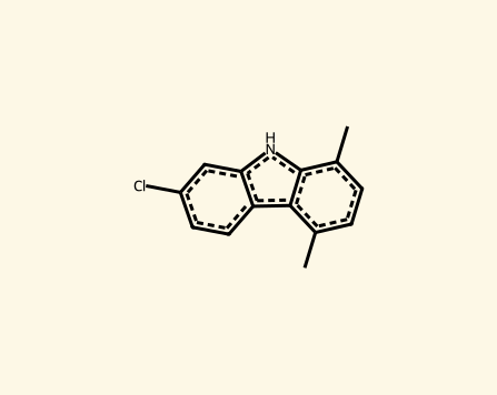 Cc1ccc(C)c2c1[nH]c1cc(Cl)ccc12